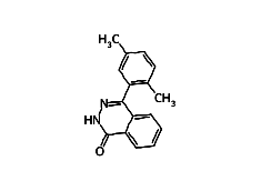 Cc1ccc(C)c(-c2n[nH]c(=O)c3ccccc23)c1